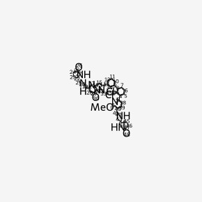 COc1nc(-c2cccc(-c3cccc(-c4cc5nc(CNC[C@@H]6CCC(=O)N6)cc(=O)n5n4C)c3Cl)c2Cl)ccc1CNC[C@H]1CCC(=O)N1